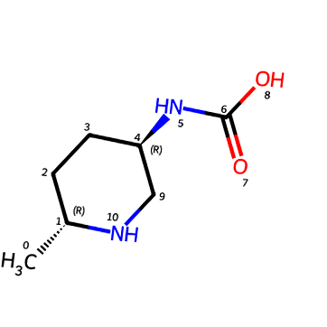 C[C@@H]1CC[C@@H](NC(=O)O)CN1